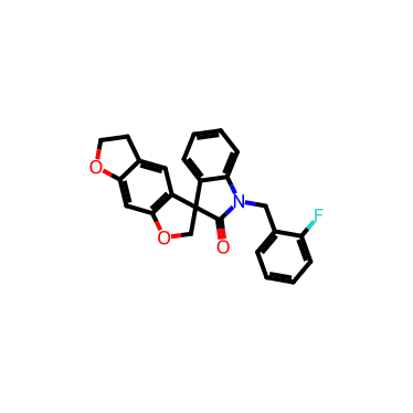 O=C1N(Cc2ccccc2F)c2ccccc2C12COc1cc3c(cc12)CCO3